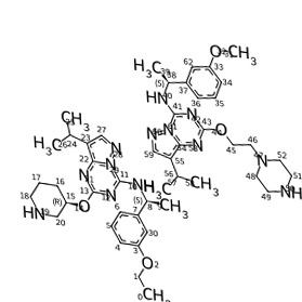 CCOc1cccc([C@H](C)Nc2nc(O[C@@H]3CCCNC3)nc3c(C(C)C)cnn23)c1.COc1cccc([C@H](C)Nc2nc(OCCN3CCNCC3)nc3c(C(C)C)cnn23)c1